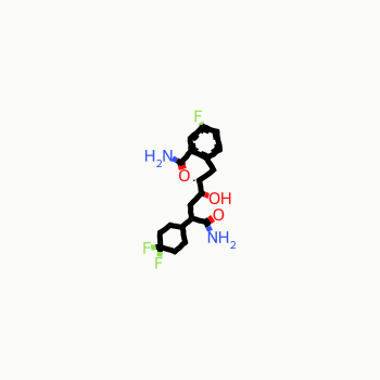 NC(=O)c1cc(F)ccc1C[CH]C(O)CC(C(N)=O)C1CCC(F)(F)CC1